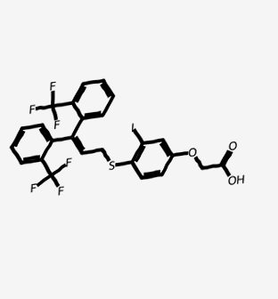 O=C(O)COc1ccc(SCC=C(c2ccccc2C(F)(F)F)c2ccccc2C(F)(F)F)c(I)c1